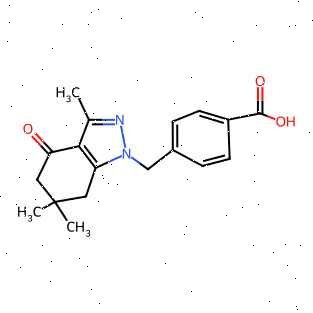 Cc1nn(Cc2ccc(C(=O)O)cc2)c2c1C(=O)CC(C)(C)C2